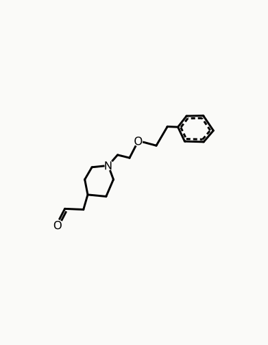 O=CCC1CCN(CCOCCc2ccccc2)CC1